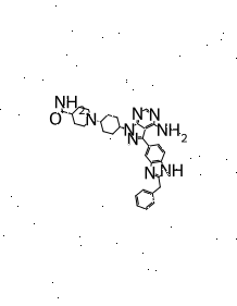 NC(=O)C1CCN([C@H]2CC[C@H](n3nc(-c4ccc5[nH]c(Cc6ccccc6)nc5c4)c4c(N)ncnc43)CC2)CC1